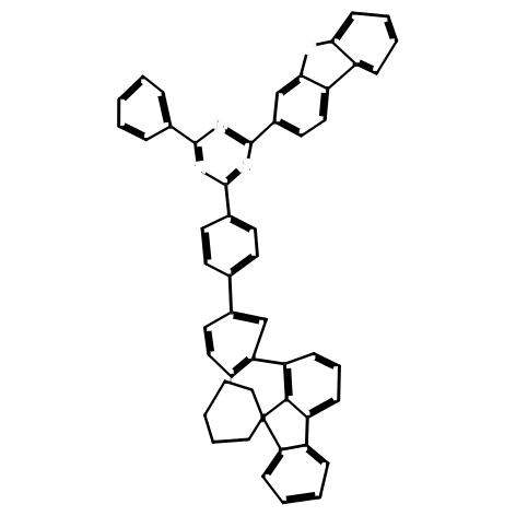 c1ccc(-c2nc(-c3ccc(-c4cccc(-c5cccc6c5C5(CCCCC5)c5ccccc5-6)c4)cc3)nc(-c3ccc4c(c3)oc3ccccc34)n2)cc1